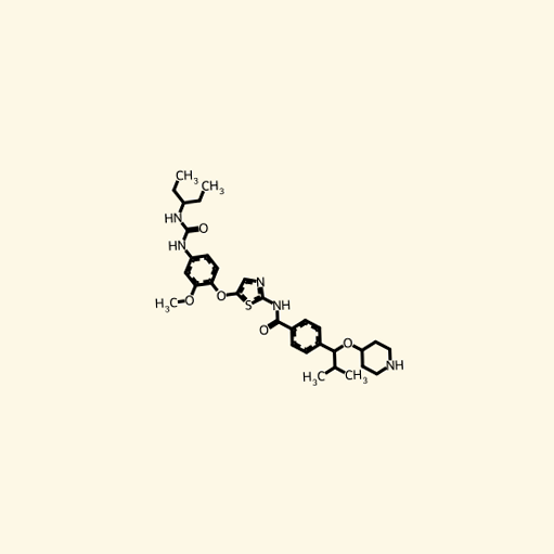 CCC(CC)NC(=O)Nc1ccc(Oc2cnc(NC(=O)c3ccc(C(OC4CCNCC4)C(C)C)cc3)s2)c(OC)c1